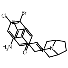 Nc1cc(Cl)c(Br)cc1C(=O)/C=C/N1C2CCC1CN(Cc1ccc(F)cc1)C2